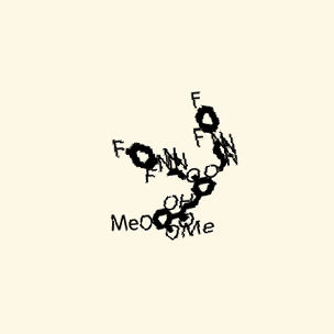 COc1cc(O)c(C(=O)/C=C/c2ccc(OCc3cn(-c4ccc(F)cc4F)nn3)c(OCc3cn(-c4ccc(F)cc4F)nn3)c2)c(OC)c1